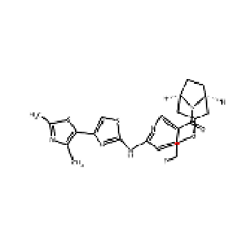 Cc1nc(C)c(-c2csc(Nc3ccc(C(=O)N4[C@@H]5CC[C@H]4C[C@@H](OCCF)C5)cn3)n2)s1